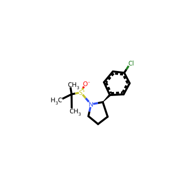 CC(C)(C)[S+]([O-])N1CCC[C@@H]1c1ccc(Cl)cc1